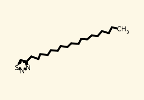 CCCCCCCCCCCCCCCCCCc1csnn1